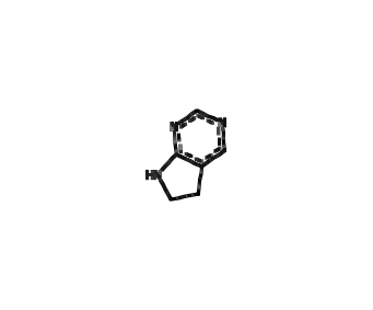 c1ncc2c(n1)NCC2